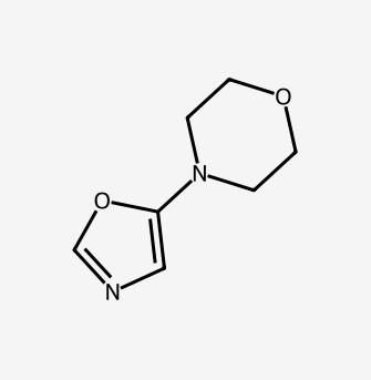 c1ncc(N2CCOCC2)o1